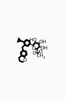 CS(=O)(=O)[C@H]1O[C@@H](c2ccc(C3CC3)c(Cc3ccc4c(c3)CCCO4)c2)[C@H](O)[C@@H](O)[C@@H]1O